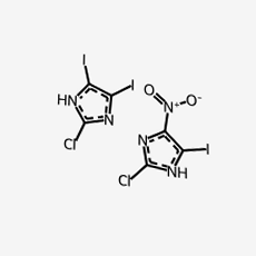 Clc1nc(I)c(I)[nH]1.O=[N+]([O-])c1nc(Cl)[nH]c1I